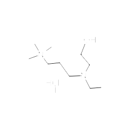 CCN(CCO)CCC[N+](C)(C)C.Cl.[I-]